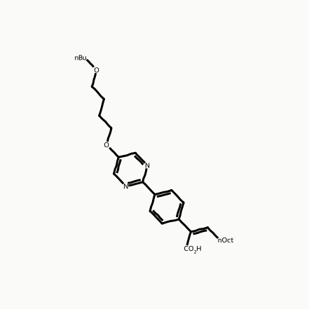 CCCCCCCCC=C(C(=O)O)c1ccc(-c2ncc(OCCCCOCCCC)cn2)cc1